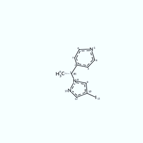 C[C@H](c1ccncc1)n1cc(I)cn1